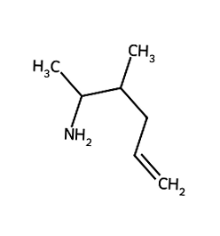 C=CCC(C)C(C)N